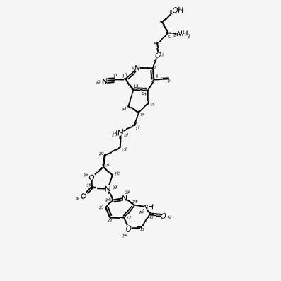 Cc1c(OCC(N)CO)nc(C#N)c2c1CC(CNCCC1CN(c3ccc4c(n3)NC(=O)CO4)C(=O)O1)C2